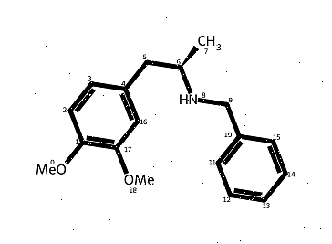 COc1ccc(C[C@@H](C)NCc2ccccc2)cc1OC